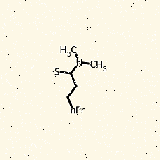 CCCCCC([S])N(C)C